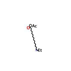 CC/C=C\CCCCCCCCCCCCCC(=O)OC(C)=O